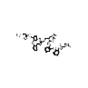 C=CC(=O)OCc1ccccc1Oc1ccccc1COC(=O)CCC(CN(CC)CC)C(=O)OCc1ccccc1Oc1ccccc1COC(=O)C=C